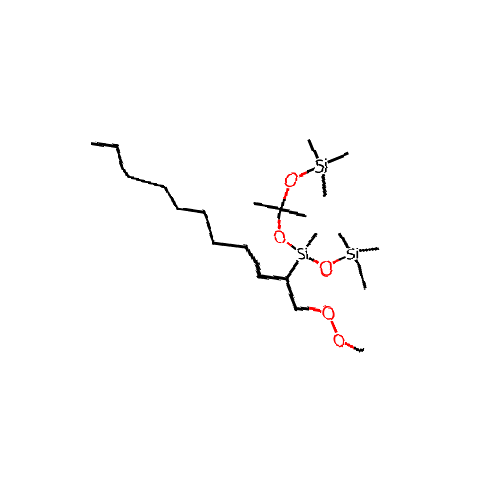 CCCCCCCCCC(COOC)[Si](C)(OC(C)(C)O[Si](C)(C)C)O[Si](C)(C)C